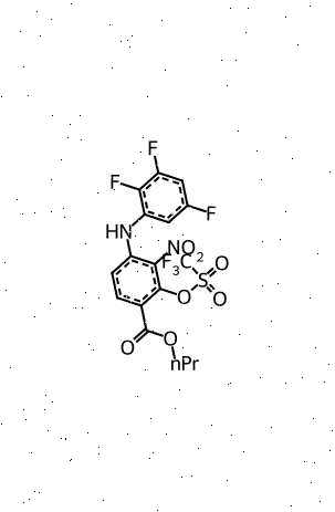 CCCOC(=O)c1ccc(Nc2cc(F)cc(F)c2F)c([N+](=O)[O-])c1OS(=O)(=O)C(F)(F)F